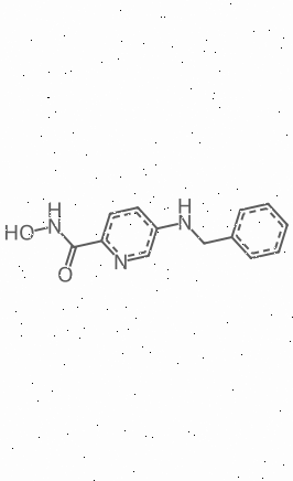 O=C(NO)c1ccc(NCc2ccccc2)cn1